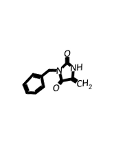 C=C1NC(=O)N(Cc2ccccc2)C1=O